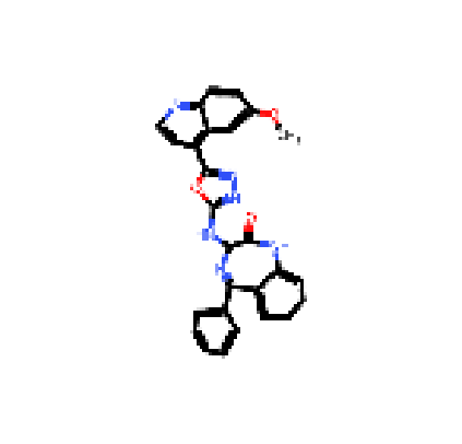 COc1ccc2nccc(-c3nnc(NC4N=C(c5ccccc5)C5=CCCC=C5NC4=O)o3)c2c1